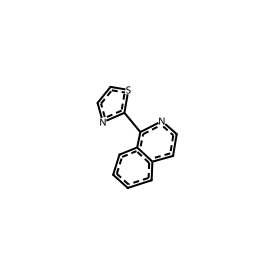 c1ccc2c(-c3nccs3)nccc2c1